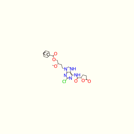 COC(CCN1CNc2c(NC(=O)C3CCC(=O)O3)nc(Cl)nc21)COC(=O)C12CCC(CC1)CC2